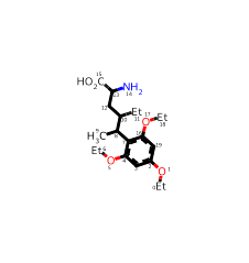 CCOc1cc(OCC)c(C(C)C(CC)CC(N)C(=O)O)c(OCC)c1